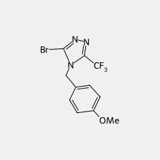 COc1ccc(Cn2c(Br)nnc2C(F)(F)F)cc1